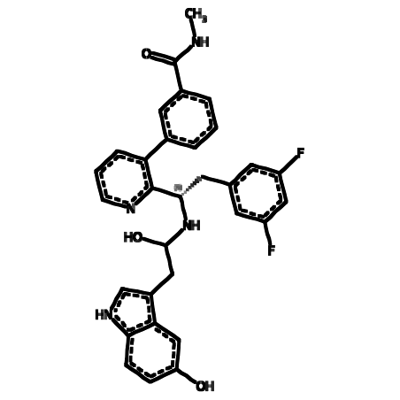 CNC(=O)c1cccc(-c2cccnc2[C@H](Cc2cc(F)cc(F)c2)NC(O)Cc2c[nH]c3ccc(O)cc23)c1